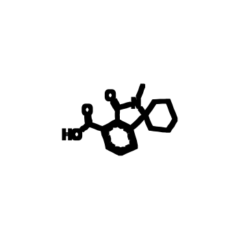 CN1C(=O)c2c(C(=O)O)cccc2C12CCCCC2